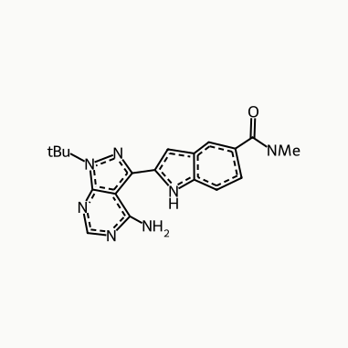 CNC(=O)c1ccc2[nH]c(-c3nn(C(C)(C)C)c4ncnc(N)c34)cc2c1